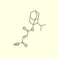 CC(C)C1C2CC3CC(C2)CC1(OC(=O)/C=C/C(=O)O)C3